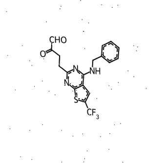 O=CC(=O)CCc1nc(NCc2ccccc2)c2cc(C(F)(F)F)sc2n1